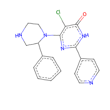 O=c1[nH]c(-c2ccncc2)nc(N2CCNCC2c2ccccc2)c1Cl